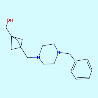 OCC12CC(CN3CCN(Cc4ccccc4)CC3)(C1)C2